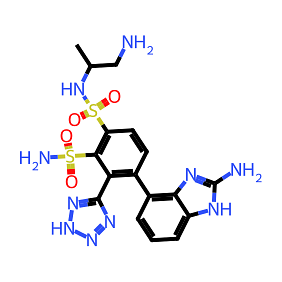 CC(CN)NS(=O)(=O)c1ccc(-c2cccc3[nH]c(N)nc23)c(-c2nn[nH]n2)c1S(N)(=O)=O